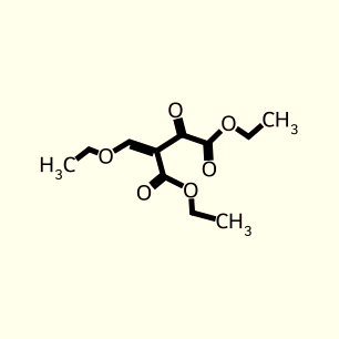 CCOC=C(C(=O)OCC)C(=O)C(=O)OCC